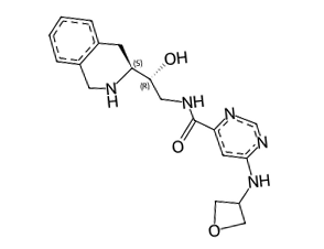 O=C(NC[C@@H](O)[C@@H]1Cc2ccccc2CN1)c1cc(NC2COC2)ncn1